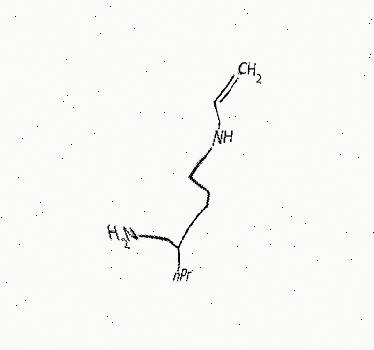 C=CNCCC(N)CCC